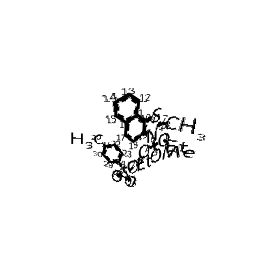 CCOC(OC)(OCC)[n+]1c(C)sc2c3ccccc3ccc21.Cc1ccc(S(=O)(=O)[O-])cc1